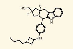 OC[C@@]1(F)C[C@@H]2Cc3c([nH]c4ccccc34)[C@@H](c3ccc(NC4CN(CCCF)C4)cc3)N2C1